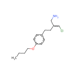 CCCCOc1ccc(CC/C(=C\Cl)CN)cc1